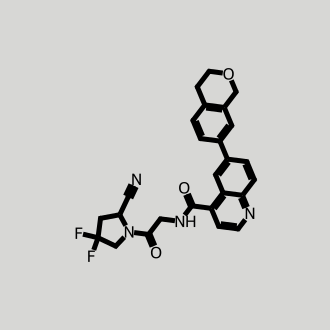 N#CC1CC(F)(F)CN1C(=O)CNC(=O)c1ccnc2ccc(-c3ccc4c(c3)COCC4)cc12